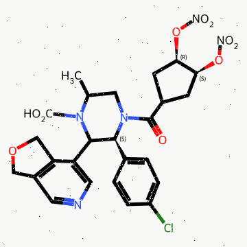 CC1CN(C(=O)C2C[C@H](O[N+](=O)[O-])[C@H](O[N+](=O)[O-])C2)[C@@H](c2ccc(Cl)cc2)C(c2cncc3c2COC3)N1C(=O)O